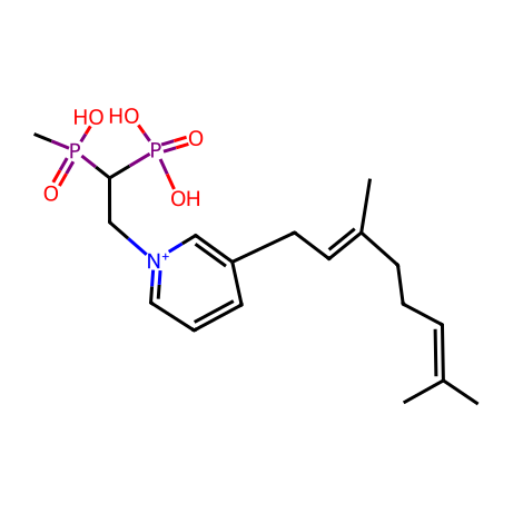 CC(C)=CCC/C(C)=C/Cc1ccc[n+](CC(P(C)(=O)O)P(=O)(O)O)c1